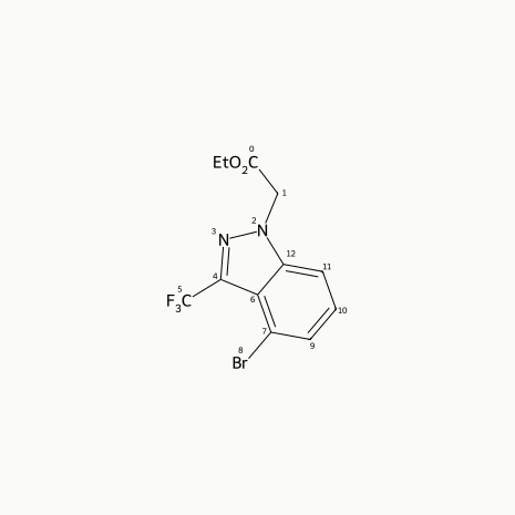 CCOC(=O)Cn1nc(C(F)(F)F)c2c(Br)cccc21